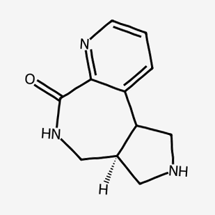 O=C1NC[C@@H]2CNCC2c2cccnc21